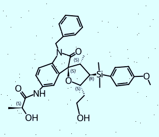 COc1ccc([Si](C)(C)[C@H]2[C@H](CCO)O[C@@]3(C(=O)N(Cc4ccccc4)c4ccc(NC(=O)[C@H](C)O)cc43)[C@@H]2C)cc1